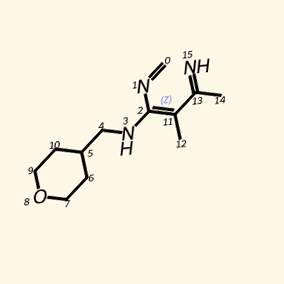 C=N/C(NCC1CCOCC1)=C(/C)C(C)=N